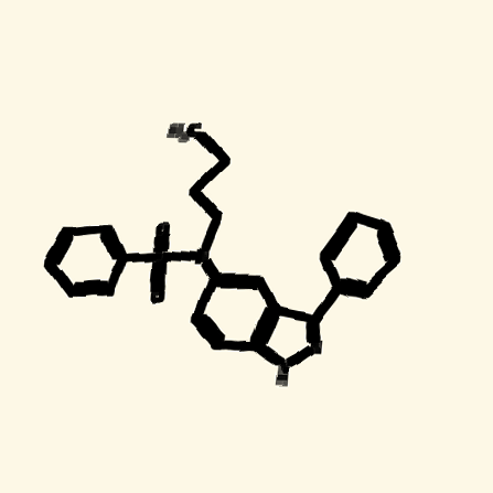 CCCCN(c1ccc2[nH]nc(-c3ccccc3)c2c1)S(=O)(=O)c1ccccc1